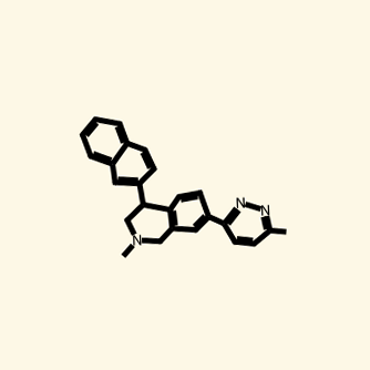 Cc1ccc(-c2ccc3c(c2)CN(C)CC3c2ccc3ccccc3c2)nn1